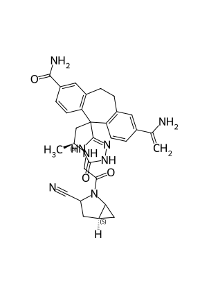 C=C(N)c1ccc2c(c1)CCc1cc(C(N)=O)ccc1C2(C[C@H](C)NCC(=O)N1C(C#N)C[C@@H]2CC21)c1n[nH]c(=O)[nH]1